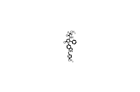 Cn1ccc(Cn2ncc3cc(N4C(=O)CC(NC(=O)C(C)(F)F)C4c4ccccc4)ccc32)n1